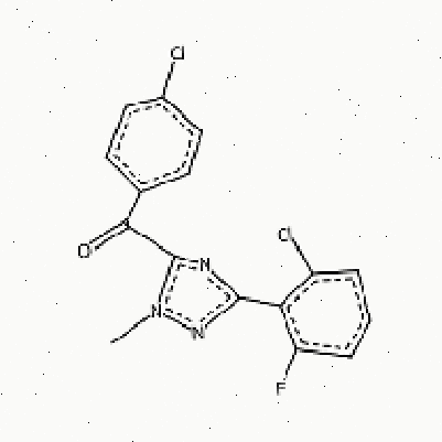 Cn1nc(-c2c(F)cccc2Cl)nc1C(=O)c1ccc(Cl)cc1